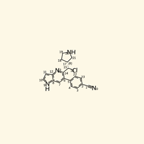 N#Cc1ccc(-c2cc3[nH]ccc3nc2C(Cl)[C@@H]2CCNC2)cc1